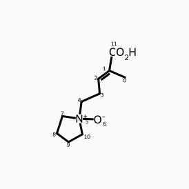 CC(=CCC[N+]1([O-])CCCC1)C(=O)O